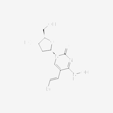 O=c1nc(NO)c(C=CBr)cn1[C@H]1C[C@H](O)[C@@H](CO)O1